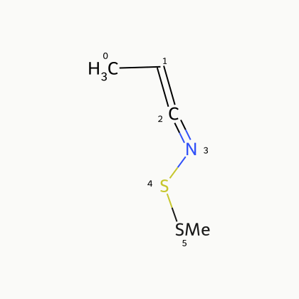 CC=C=NSSC